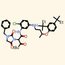 CCC(C)(C)c1ccc(OC(C)CCNc2ccc(Cl)c(NC(=O)C(C(=O)C(C)(C)C)N3C(=O)CN(Cc4ccccc4)C3=O)c2)c(C(C)(C)CC)c1